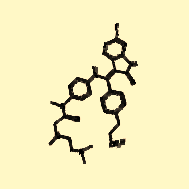 CN(C)CCN(C)CC(=O)N(C)c1ccc(NC(=C2C(=O)Nc3cc(F)ccc32)c2ccc(CCC(=O)O)cc2)cc1